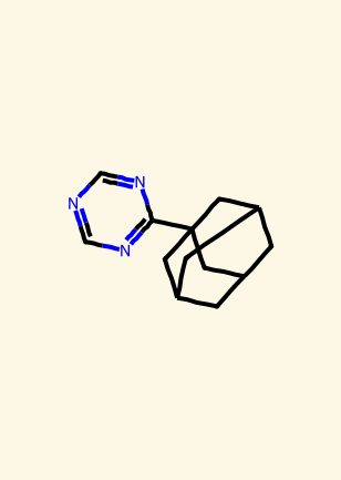 c1ncnc(C23CC4CC(CC(C4)C2)C3)n1